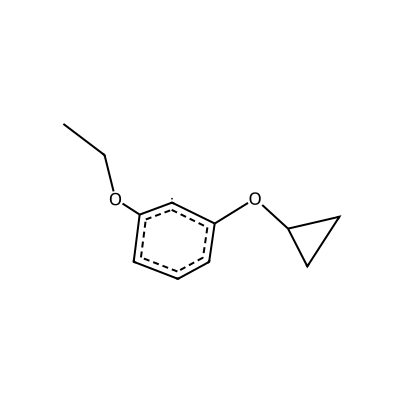 CCOc1[c]c(OC2CC2)ccc1